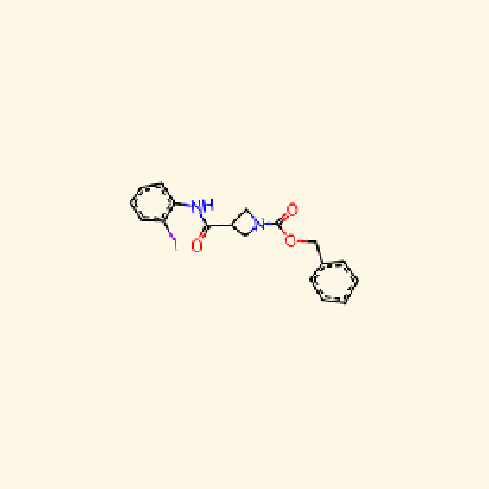 O=C(Nc1ccccc1I)C1CN(C(=O)OCc2ccccc2)C1